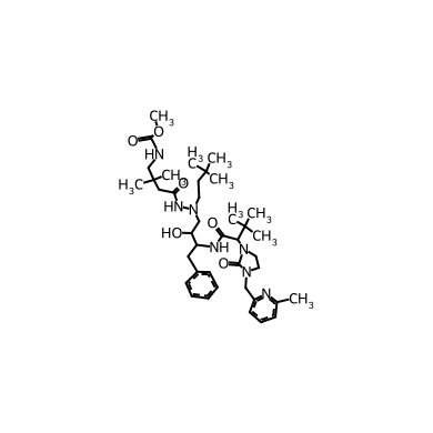 COC(=O)NCC(C)(C)CC(=O)NN(CCC(C)(C)C)CC(O)C(Cc1ccccc1)NC(=O)C(N1CCN(Cc2cccc(C)n2)C1=O)C(C)(C)C